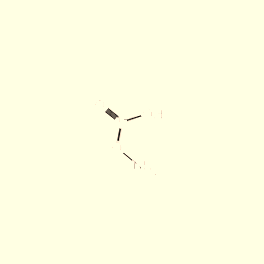 NO[P](=O)O